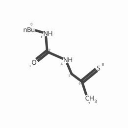 CCCCNC(=O)NCC(C)=S